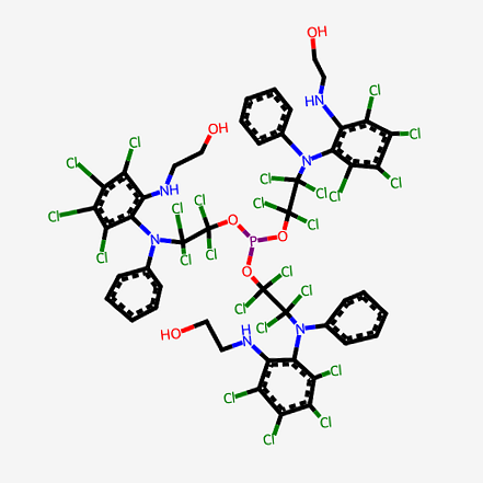 OCCNc1c(Cl)c(Cl)c(Cl)c(Cl)c1N(c1ccccc1)C(Cl)(Cl)C(Cl)(Cl)OP(OC(Cl)(Cl)C(Cl)(Cl)N(c1ccccc1)c1c(Cl)c(Cl)c(Cl)c(Cl)c1NCCO)OC(Cl)(Cl)C(Cl)(Cl)N(c1ccccc1)c1c(Cl)c(Cl)c(Cl)c(Cl)c1NCCO